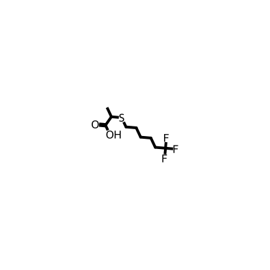 CC(SCCCCCC(F)(F)F)C(=O)O